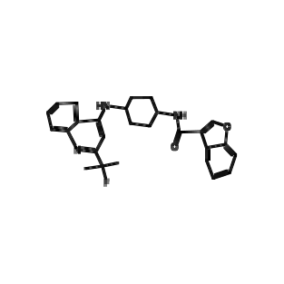 CC(C)(F)c1cc(NC2CCC(NC(=O)c3coc4ccccc34)CC2)c2ccccc2n1